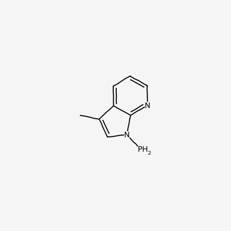 Cc1cn(P)c2ncccc12